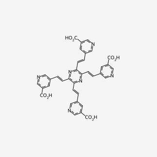 O=C(O)c1cncc(C=Cc2nc(C=Cc3cncc(C(=O)O)c3)c(C=Cc3cncc(C(=O)O)c3)nc2C=Cc2cncc(C(=O)O)c2)c1